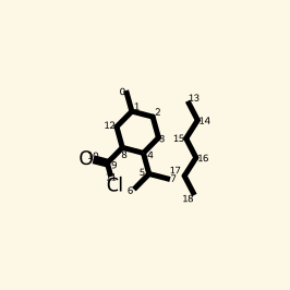 CC1CCC(C(C)C)C(C(=O)Cl)C1.CCCCCC